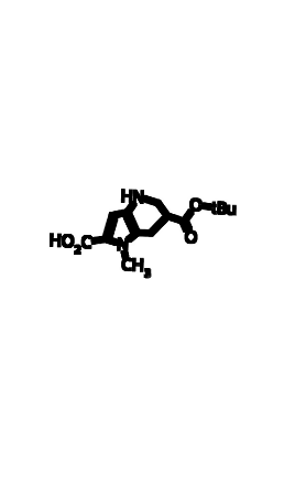 Cn1c(C(=O)O)cc2c1CC(C(=O)OC(C)(C)C)CN2